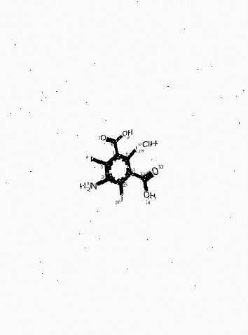 Cl.Nc1c(I)c(C(=O)O)c(I)c(C(=O)O)c1I